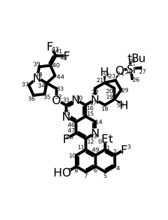 CCc1c(F)ccc2cc(O)cc(-c3ncc4c(N5C[C@@H]6C[C@H](C5)[C@H](O[Si](C)(C)C(C)(C)C)C6)nc(OCC56CCCN5CC(=C(F)F)C6)nc4c3F)c12